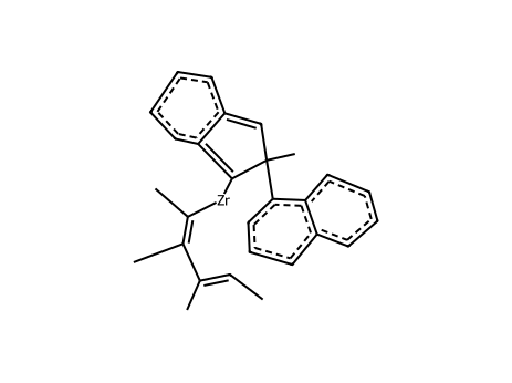 CC=C(C)C(C)=[C](C)[Zr][C]1=c2ccccc2=CC1(C)c1cccc2ccccc12